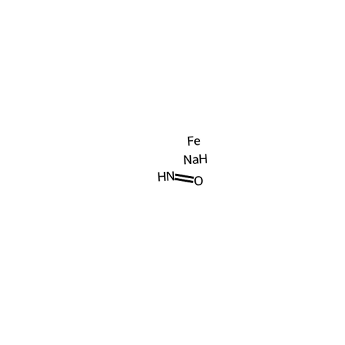 N=O.[Fe].[NaH]